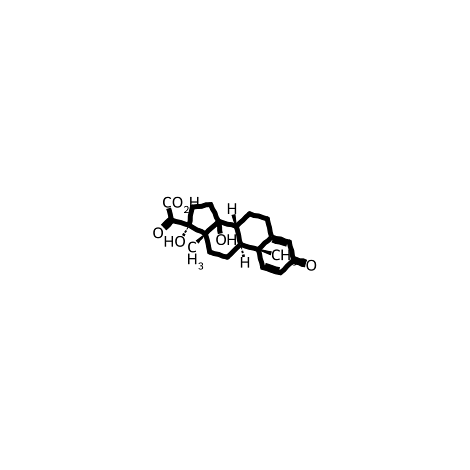 C[C@]12C=CC(=O)C=C1CC[C@@H]1[C@@H]2CC[C@@]2(C)C1(O)CC[C@]2(O)C(=O)C(=O)O